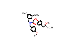 CCOc1ccc(CN(Cc2cc(OC)cc(OC)c2)C(=O)COc2ccc(C[C@H](OCC)C(=O)O)cc2)cc1